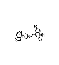 COc1ccc2[nH]c(=O)cc(CCN3CCN(c4nccc5sccc45)CC3)c2c1